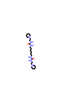 O=C(NCCCCCCNC(=O)NCCN1CCCCC1)NCCN1CCCCC1